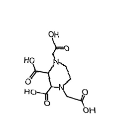 O=C(O)CN1CCN(CC(=O)O)C(C(=O)O)C1C(=O)O